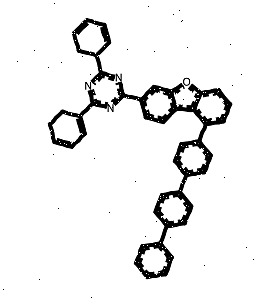 C1=CCCC(c2nc(-c3ccc4c(c3)oc3cccc(-c5ccc(-c6ccc(-c7ccccc7)cc6)cc5)c34)nc(C3C=CC=CC3)n2)=C1